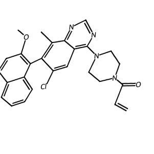 C=CC(=O)N1CCN(c2ncnc3c(C)c(-c4c(OC)ccc5ccccc45)c(Cl)cc23)CC1